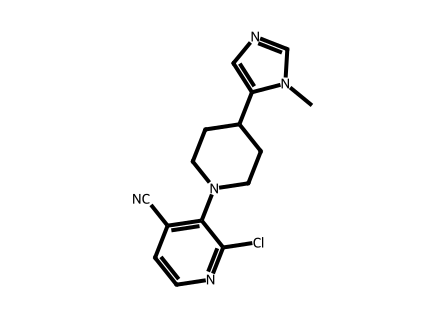 Cn1cncc1C1CCN(c2c(C#N)ccnc2Cl)CC1